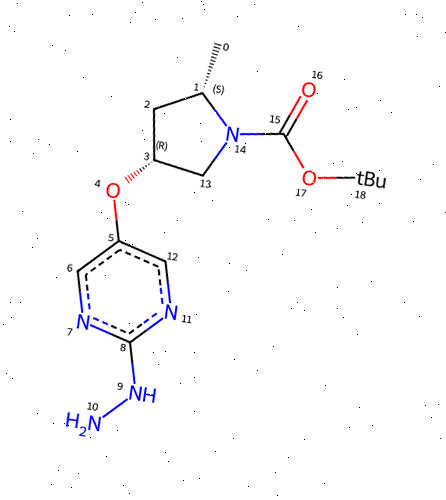 C[C@H]1C[C@@H](Oc2cnc(NN)nc2)CN1C(=O)OC(C)(C)C